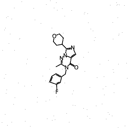 Cc1nn2c(C3CCOCC3)ncc2c(=O)n1Cc1cccc(F)c1